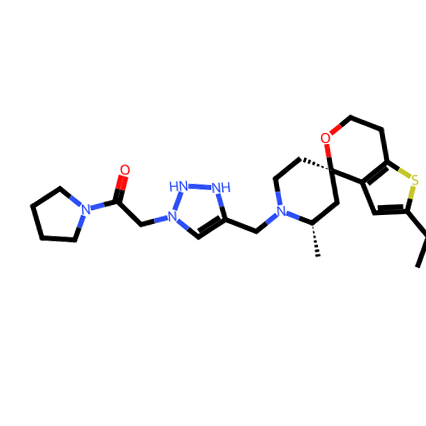 CCc1cc2c(s1)CCO[C@@]21CCN(CC2=CN(CC(=O)N3CCCC3)NN2)[C@@H](C)C1